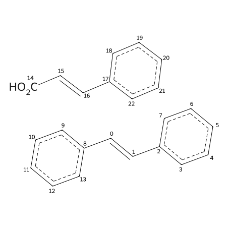 C(=C\c1ccccc1)/c1ccccc1.O=C(O)/C=C/c1ccccc1